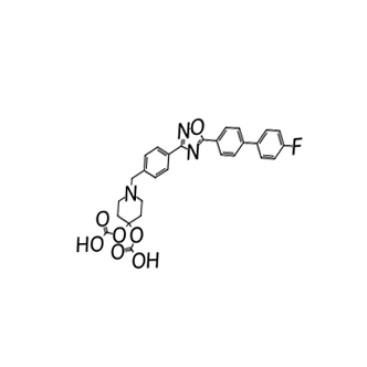 O=C(O)OC1(OC(=O)O)CCN(Cc2ccc(-c3noc(-c4ccc(-c5ccc(F)cc5)cc4)n3)cc2)CC1